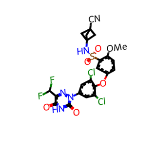 COc1ccc(Oc2c(Cl)cc(-n3nc(C(F)F)c(=O)[nH]c3=O)cc2Cl)cc1S(=O)(=O)NC12CC(C#N)(C1)C2